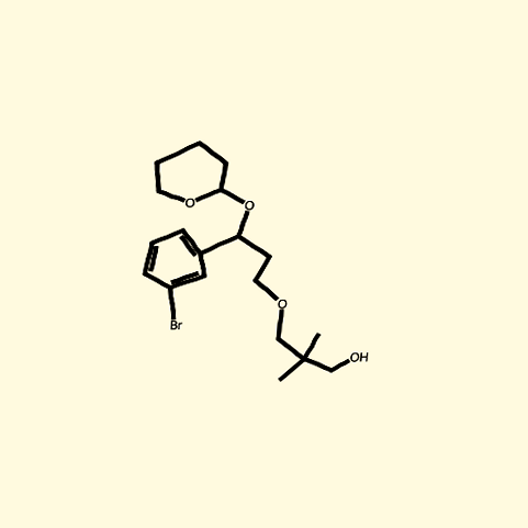 CC(C)(CO)COCCC(OC1CCCCO1)c1cccc(Br)c1